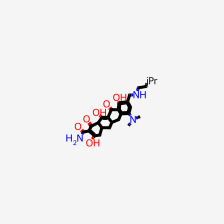 CC(C)CCNCc1cc(N(C)C)c2c(c1O)C(=O)C1=C(O)C3C(=O)C(C(N)=O)=C(O)CC3CC1C2